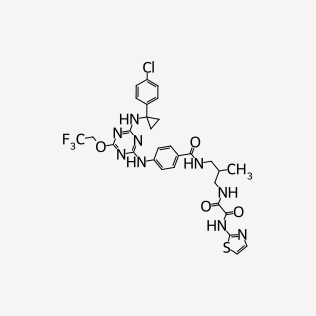 CC(CNC(=O)C(=O)Nc1nccs1)CNC(=O)c1ccc(Nc2nc(NC3(c4ccc(Cl)cc4)CC3)nc(OCC(F)(F)F)n2)cc1